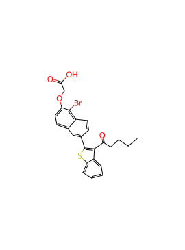 CCCCC(=O)c1c(-c2ccc3c(Br)c(OCC(=O)O)ccc3c2)sc2ccccc12